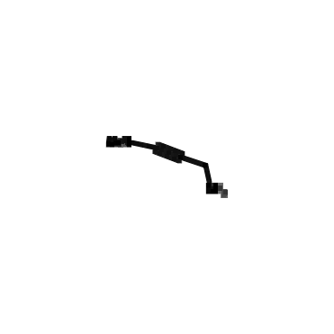 CNC#CCN